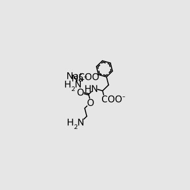 NC(=O)[O-].NCCOC(=O)NC(Cc1ccccc1)C(=O)[O-].[Na+].[Na+]